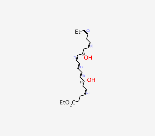 CC/C=C\C/C=C\C[C@H](O)\C=C/C=C/C=C/[C@H](O)C/C=C\CCC(=O)OCC